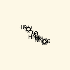 O=C(/C=C/c1ccc(O)cc1)Nc1cn(Cc2cccc(Cl)c2)cn1